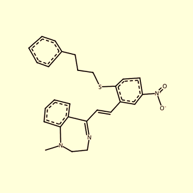 CN1CCN=C(/C=C/c2cc([N+](=O)[O-])ccc2SCCCc2ccccc2)c2ccccc21